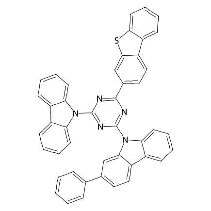 c1ccc(-c2ccc3c4ccccc4n(-c4nc(-c5ccc6c(c5)sc5ccccc56)nc(-n5c6ccccc6c6ccccc65)n4)c3c2)cc1